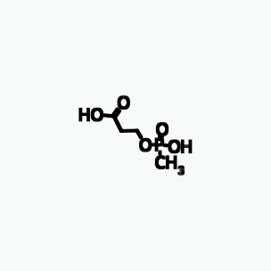 CP(=O)(O)OCCC(=O)O